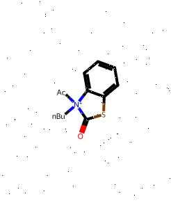 CCCC[N+]1(C(C)=O)C(=O)Sc2ccccc21